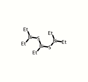 C[CH2][Bi]([CH2]C)[S][Bi]([CH2]C)[S][Bi]([CH2]C)[CH2]C